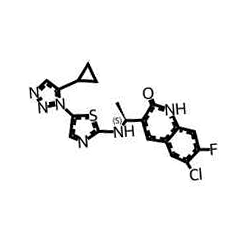 C[C@H](Nc1ncc(-n2nncc2C2CC2)s1)c1cc2cc(Cl)c(F)cc2[nH]c1=O